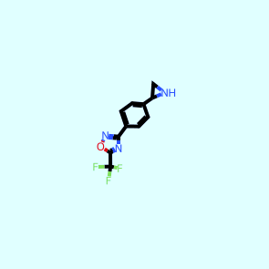 FC(F)(F)c1nc(-c2ccc(C3CN3)cc2)no1